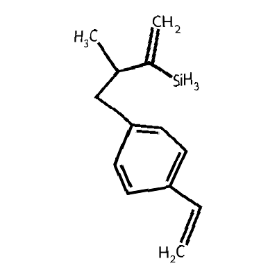 C=Cc1ccc(CC(C)C(=C)[SiH3])cc1